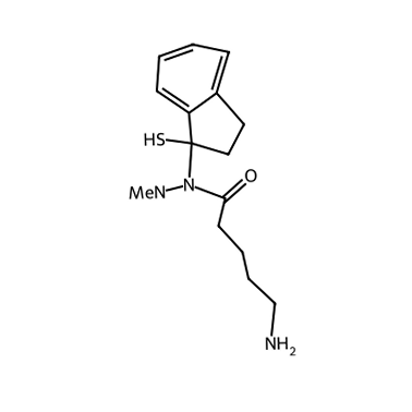 CNN(C(=O)CCCCN)C1(S)CCc2ccccc21